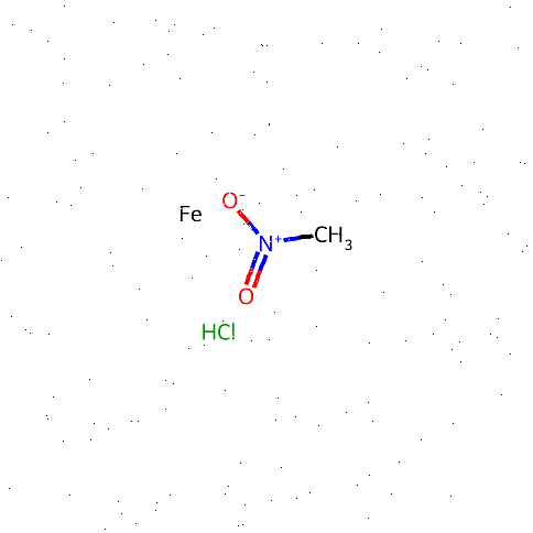 C[N+](=O)[O-].Cl.[Fe]